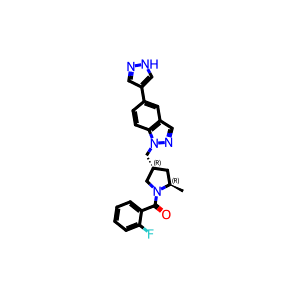 C[C@@H]1C[C@@H](Cn2ncc3cc(-c4cn[nH]c4)ccc32)CN1C(=O)c1ccccc1F